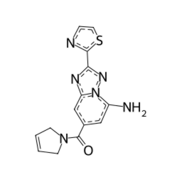 Nc1cc(C(=O)N2CC=CC2)cc2nc(-c3nccs3)nn12